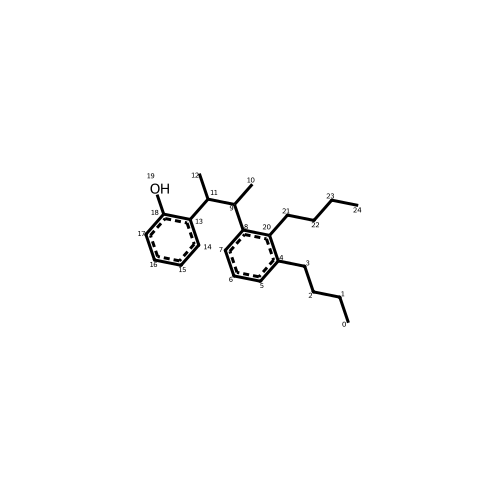 CCCCc1cccc(C(C)C(C)c2ccccc2O)c1CCCC